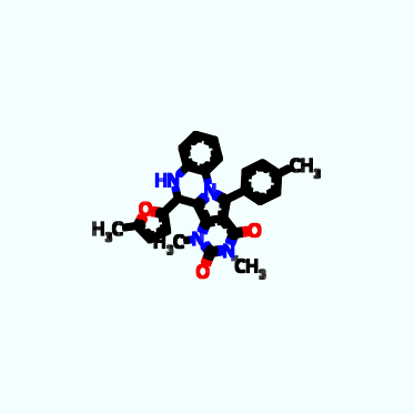 Cc1ccc(-c2c3c(=O)n(C)c(=O)n(C)c3c3n2-c2ccccc2NC3c2ccc(C)o2)cc1